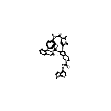 Cc1c(C(=O)N(C)c2ccccc2)cc(-c2cc3c(cc2C(=O)N2Cc4ccccc4C[C@H]2C)CN(C(=O)Oc2ccnc4c2ccn4C)CC3)n1C